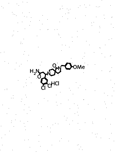 COc1ccc(CN2CCC3(CCN(C(CC(N)=O)c4ccc(Cl)c(Cl)c4)CC3)C2=O)cc1.Cl